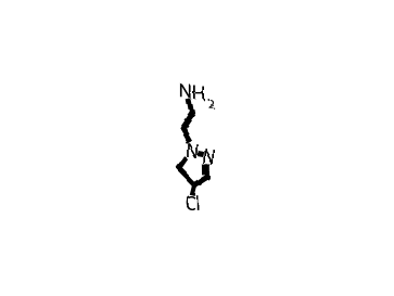 NCCN1CC(Cl)C=N1